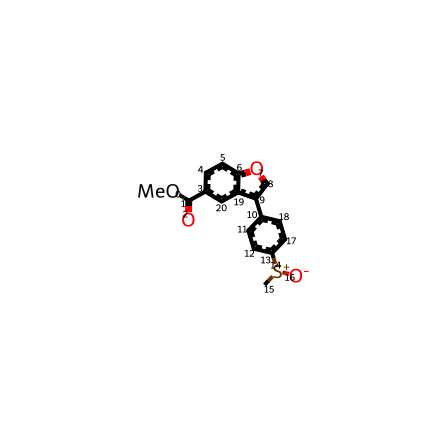 COC(=O)c1ccc2occ(-c3ccc([S+](C)[O-])cc3)c2c1